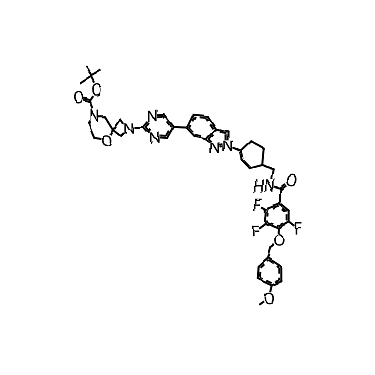 COc1ccc(COc2c(F)cc(C(=O)NCC3CCC(n4cc5ccc(-c6cnc(N7CC8(CN(C(=O)OC(C)(C)C)CCO8)C7)nc6)cc5n4)CC3)c(F)c2F)cc1